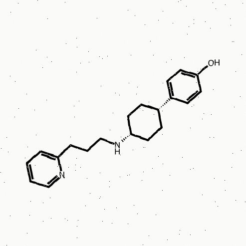 Oc1ccc([C@H]2CC[C@@H](NCCCc3ccccn3)CC2)cc1